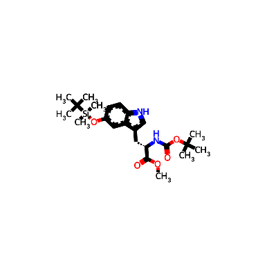 COC(=O)[C@H](Cc1c[nH]c2ccc(O[Si](C)(C)C(C)(C)C)cc12)NC(=O)OC(C)(C)C